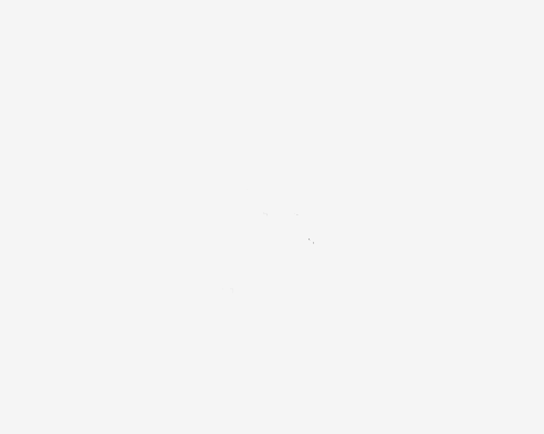 CC(C)c1ccccc1-c1cn(C(=O)Nc2ccccc2)c2ccccc12